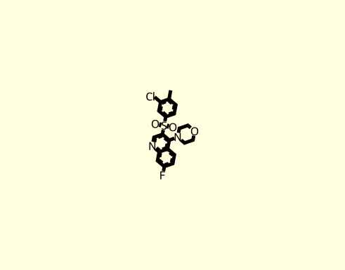 Cc1ccc(S(=O)(=O)c2cnc3cc(F)ccc3c2N2CCOCC2)cc1Cl